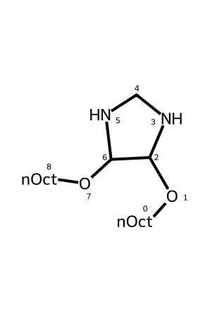 CCCCCCCCOC1NCNC1OCCCCCCCC